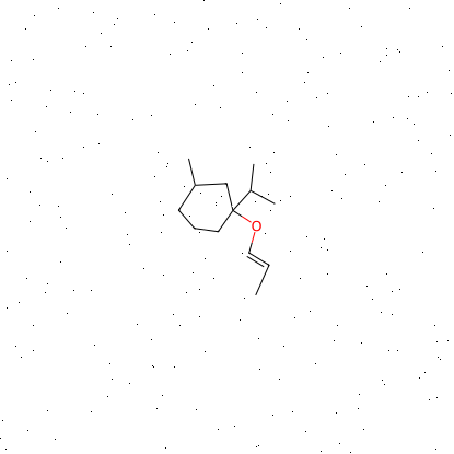 CC=COC1(C(C)C)CCCC(C)C1